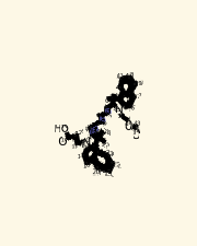 CC1(C)C(/C=C/C=C/C=C2/N(CCC(=O)O)c3ccc4ccccc4c3C2(C)C)=[N+](CCOC=O)c2ccc3ccccc3c21